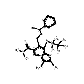 Cc1nc2c(O[Si](C)(C)C(C)(C)C(C)C)c(CC[C@@H](O)c3ccccc3)c(C(=O)N(C)C)cn2c1C